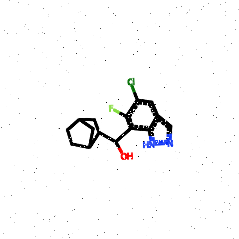 OC(c1c(F)c(Cl)cc2cn[nH]c12)C1CC2CCC1C2